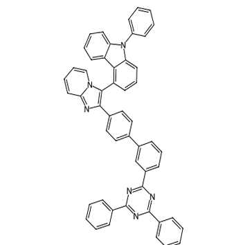 c1ccc(-c2nc(-c3ccccc3)nc(-c3cccc(-c4ccc(-c5nc6ccccn6c5-c5cccc6c5c5ccccc5n6-c5ccccc5)cc4)c3)n2)cc1